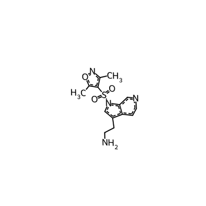 Cc1noc(C)c1S(=O)(=O)n1cc(CCN)c2ccncc21